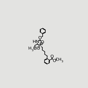 CCC(NC(=O)OCc1ccccc1)P(=O)(O)CCCCCc1ccccc1C(=O)OC